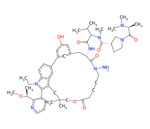 CCn1c(-c2cccnc2[C@H](C)OC)c2c3cc(ccc31)-c1cc(O)cc(c1)C[C@H](NC(=O)C(C(C)C)N(C)C(=O)[C@H]1CCN(C(=O)[C@H](C)N(C)C)C1)C(=O)N(NF)CCCCC(=O)OCC(C)(C)C2